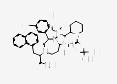 CC[N+]([O-])(C(=O)C1CCCCN1C(=O)OC(C)(C)C)N1C(C)CCN(C(Cc2cccc3ccccc23)C(N)=O)C(=O)C1c1cccc(Cl)c1